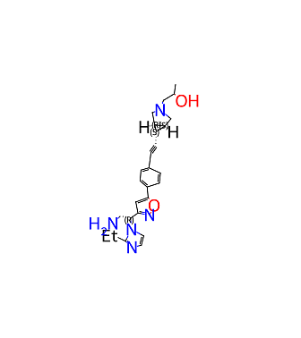 CCc1nccn1[C@H](CN)c1cc(-c2ccc(C#C[C@@H]3[C@H]4CN(CC(C)O)C[C@@H]34)cc2)on1